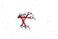 CCCCCCCCC(CCCCCCCC)CNC(=O)CCCCCN(CCCCCC(=O)OCC(CCCCCCCC)CCCCCCCC)CCN(CCO)C1CCCCC1